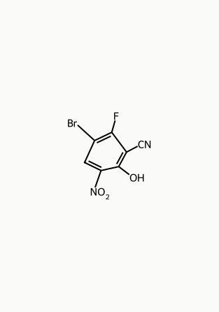 N#Cc1c(O)c([N+](=O)[O-])cc(Br)c1F